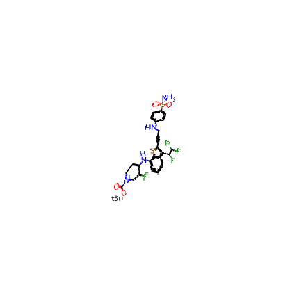 CC(C)(C)OC(=O)N1CCC(Nc2cccc3c(C(F)C(F)F)c(C#CCNc4ccc(S(N)(=O)=O)cc4)sc23)C(F)C1